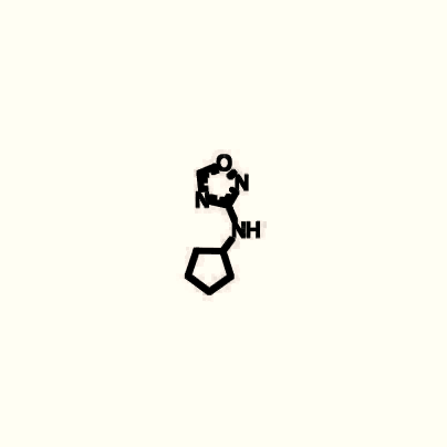 c1nc(NC2CCCC2)no1